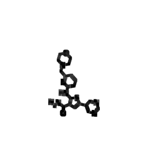 NC(=O)c1cc(-c2cncnc2)sc1Nc1cccc(CN2CCOCC2)n1